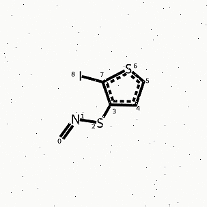 C=NSc1ccsc1I